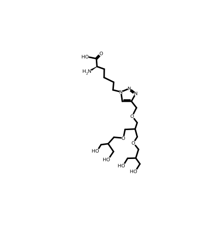 N[C@H](CCCCn1cc(COCC(COCC(CO)CO)COCC(CO)CO)nn1)C(=O)O